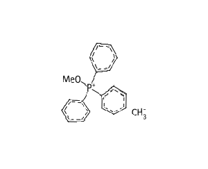 CO[P+](c1ccccc1)(c1ccccc1)c1ccccc1.[CH3-]